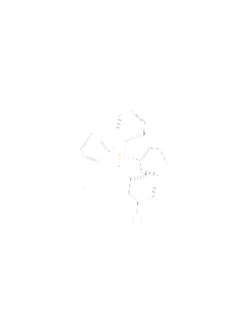 Clc1cccc(C[P+](c2ccccc2)(c2ccccc2)c2ccccc2)c1.[Br-]